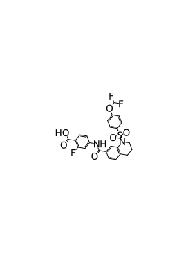 O=C(Nc1ccc(C(=O)O)c(F)c1)c1ccc2c(c1)N(S(=O)(=O)c1ccc(OC(F)F)cc1)CCC2